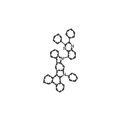 c1ccc(-c2nc3cccc(-n4c5ccccc5c5cc6c7c8ccccc8c8ccccc8c7n(-c7ccccc7)c6cc54)c3nc2-c2ccccc2)cc1